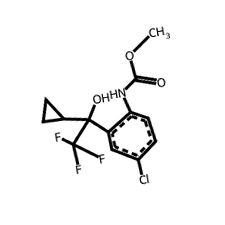 COC(=O)Nc1ccc(Cl)cc1C(O)(C1CC1)C(F)(F)F